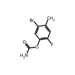 Cc1cc(F)c(OC(N)=O)cc1Br